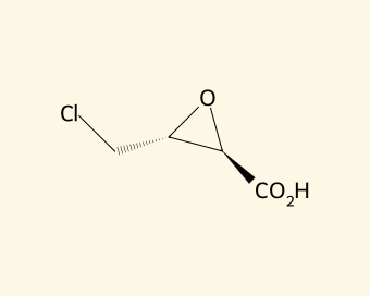 O=C(O)[C@@H]1O[C@H]1CCl